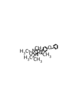 CCOC1=NC(C)(CCc2ccc(OCc3ccccc3)cc2)C(OCC)=NC1C(C)C